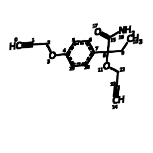 C#CCOc1ccc(C(CC)(OCC#C)C(N)=O)cc1